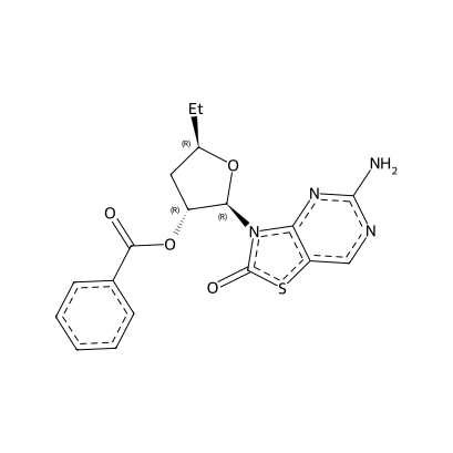 CC[C@@H]1C[C@@H](OC(=O)c2ccccc2)[C@H](n2c(=O)sc3cnc(N)nc32)O1